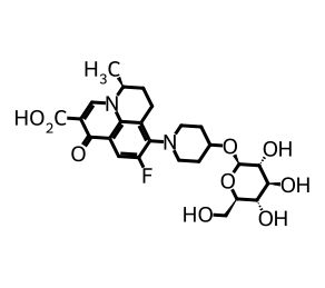 C[C@H]1CCc2c(N3CCC(O[C@@H]4O[C@H](CO)[C@@H](O)[C@H](O)[C@H]4O)CC3)c(F)cc3c(=O)c(C(=O)O)cn1c23